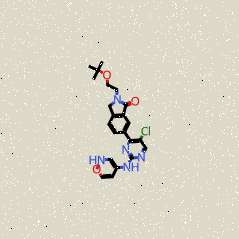 CC(C)(C)OCCN1Cc2ccc(-c3nc(NC4=CNOC=C4)ncc3Cl)cc2C1=O